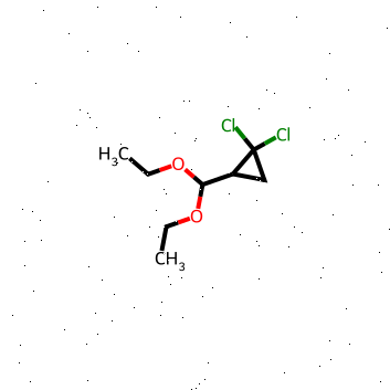 CCOC(OCC)C1CC1(Cl)Cl